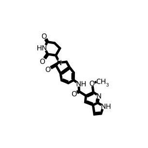 COc1nc2[nH]ccc2cc1C(=O)Nc1ccc2c(c1)CN(C1CCC(=O)NC1=O)C2=O